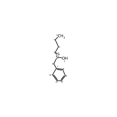 CCCC[SiH](O)Cc1ccccc1